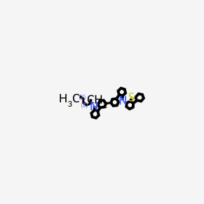 C=C(/C=C\C=C/C)n1c2ccccc2c2cc(-c3ccc4c(c3)c3ccccc3n4-c3cccc4c3sc3ccccc34)ccc21